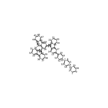 c1ccc(-c2ccc(-c3ccc(-c4ccc5c(c4)c4ccccc4n5-c4cc(-n5c6ccccc6c6ccccc65)c5sc6ccccc6c5c4)cc3)cc2)cc1